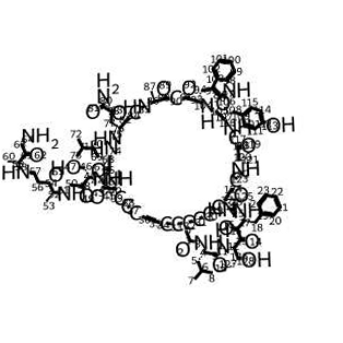 CC(=O)N[C@@H](CC(C)C)C(=O)N[C@H](C(=O)C(=O)[C@H](Cc1ccccc1)NN[C@]1(C)CCCCCC/C=C\CCC[C@@](C)(C(=O)N[C@@H](CO)C(=O)CN[C@@H](C)C(=O)CCN[C@@H](C)C(=O)CN)NC(=O)[C@H](CCC(C)C)NN[C@@H](CCC(N)=O)C(=O)CN[C@@H](C)C(=O)CC(=O)[C@H](Cc2c[nH]c3ccccc23)NC(=O)[C@H](Cc2ccc(O)cc2)NCC(=O)[C@H](C)NCC1=O)[C@@H](C)O